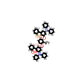 CC(C)c1c2c(cc3c1Oc1cc(N(c4ccccc4)c4ccccc4)cc(-c4ccccc4S)c1B3)Bc1c(cc(N(c3ccccc3)c3ccccc3)cc1-c1ccccc1O)O2